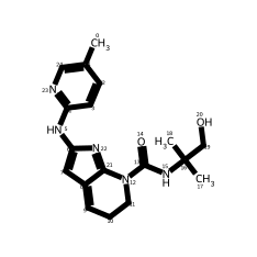 Cc1ccc(NC2=CC3=CCCN(C(=O)NC(C)(C)CO)C3=N2)nc1